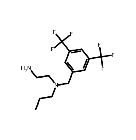 CCCN(CCN)Cc1cc(C(F)(F)F)cc(C(F)(F)F)c1